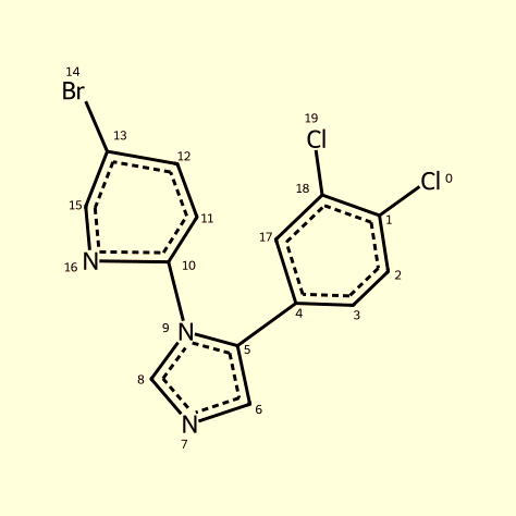 Clc1ccc(-c2cncn2-c2ccc(Br)cn2)cc1Cl